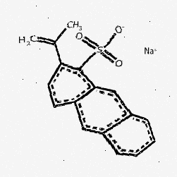 C=C(C)c1ccc2cc3ccccc3cc2c1S(=O)(=O)[O-].[Na+]